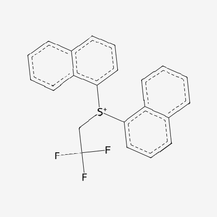 FC(F)(F)C[S+](c1cccc2ccccc12)c1cccc2ccccc12